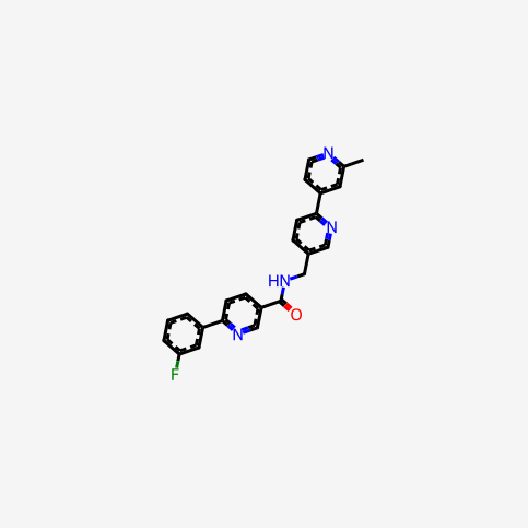 Cc1cc(-c2ccc(CNC(=O)c3ccc(-c4cccc(F)c4)nc3)cn2)ccn1